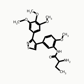 CCC(N)C(=O)Nc1cc(-c2csnc2-c2cc(OC)c(OC)c(OC)c2)ccc1OC